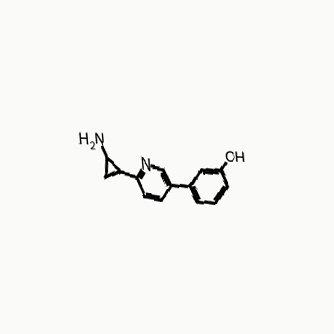 NC1CC1c1ccc(-c2cccc(O)c2)cn1